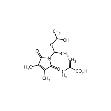 C=C(C)C(=O)O.CC1=C(C)C(=O)N(C(C)OC(C)O)C1=O